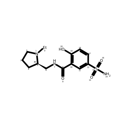 CCN1CCC[C@@H]1CNC(=O)c1cc(S(N)(=O)=O)ccc1O